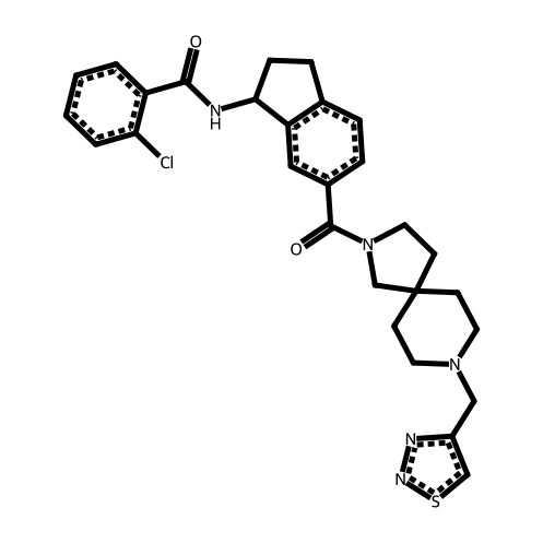 O=C(NC1CCc2ccc(C(=O)N3CCC4(CCN(Cc5csnn5)CC4)C3)cc21)c1ccccc1Cl